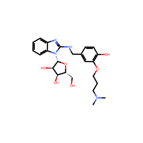 CN(C)CCCOc1cc(CNc2nc3ccccc3n2[C@@H]2O[C@H](CO)[C@@H](O)[C@H]2O)ccc1O